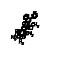 CCC(c1ccc2c(c1)N(C)C(=O)C(C)(C)C(=O)N2)N(CCc1cccnc1)C(=O)c1ccccc1.Cl